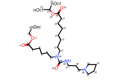 CCCCCCCCCCCOC(=O)CCCCCN(CCCCCCCC(=O)OC(CCCCCCCC)CCCCCCCC)C(=O)NCCCN1CCCC1